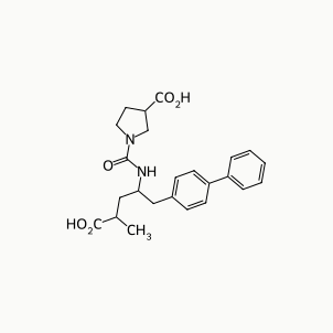 CC(CC(Cc1ccc(-c2ccccc2)cc1)NC(=O)N1CCC(C(=O)O)C1)C(=O)O